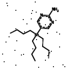 CCC[CH2][Sn]([CH2]CCC)([CH2]CCC)[c]1cnc(N)nc1